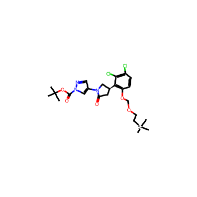 CC(C)(C)OC(=O)n1cc(N2C[C@@H](c3c(OCOCC[Si](C)(C)C)ccc(Cl)c3Cl)CC2=O)cn1